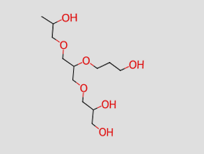 CC(O)COCC(COCC(O)CO)OCCCO